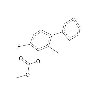 COC(=O)Oc1c(F)ccc(-c2ccccc2)c1C